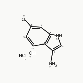 Cl.Cl.Nc1c[nH]c2cc(Cl)ccc12